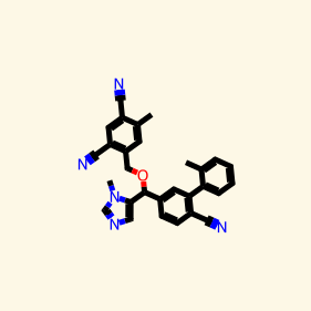 Cc1cc(COC(c2ccc(C#N)c(-c3ccccc3C)c2)c2cncn2C)c(C#N)cc1C#N